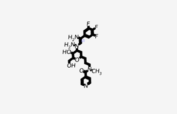 CN(CCCC1CC(N(N)/C=C(\N)c2cc(F)c(F)c(F)c2)C(O)C(CO)O1)C(=O)c1ccncc1